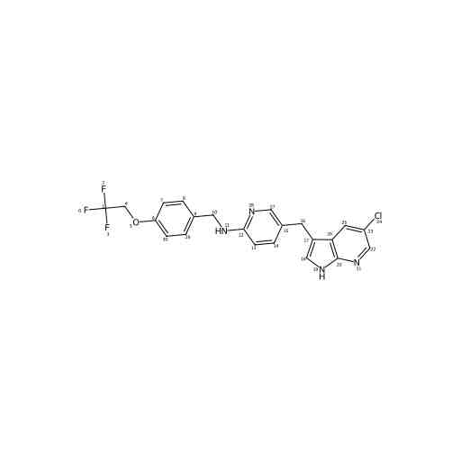 FC(F)(F)COc1ccc(CNc2ccc(Cc3c[nH]c4ncc(Cl)cc34)cn2)cc1